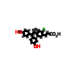 CCCCC(=C(c1ccc(O)cc1)c1ccc(O)cc1)c1ccc(/C=C/C(=O)O)c(F)c1